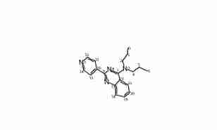 CCCN(CCC)c1nc(-c2ccncc2)nc2ccccc12